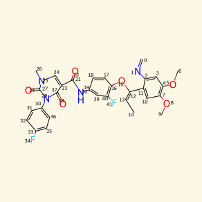 C=Nc1cc(OC)c(OC)cc1/C(=C\C)Oc1ccc(NC(=O)c2cn(C)c(=O)n(-c3ccc(F)cc3)c2=O)cc1F